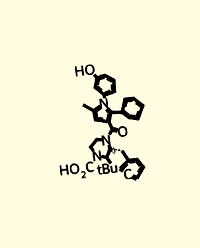 Cc1cc(C(=O)N2CCN(C(=O)O)C(C(C)(C)C)[C@H]2Cc2ccccc2)c(-c2ccccc2)n1-c1cccc(O)c1